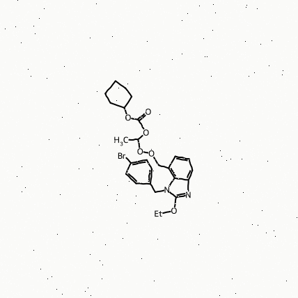 CCOc1nc2cccc(COOC(C)OC(=O)OC3CCCCC3)c2n1Cc1ccc(Br)cc1